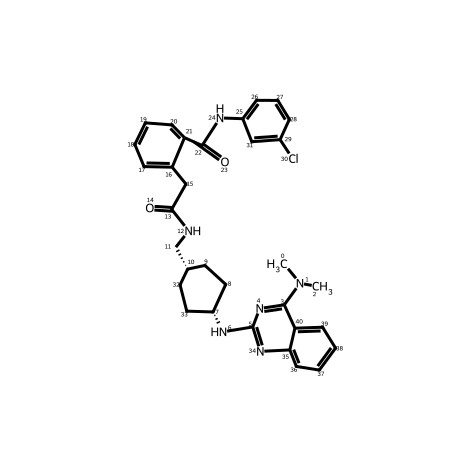 CN(C)c1nc(N[C@H]2CC[C@@H](CNC(=O)Cc3ccccc3C(=O)Nc3cccc(Cl)c3)CC2)nc2ccccc12